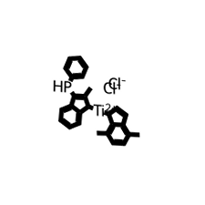 CC1=C(Pc2ccccc2)c2ccccc2[CH]1[Ti+2][CH]1C=Cc2c(C)ccc(C)c21.[Cl-].[Cl-]